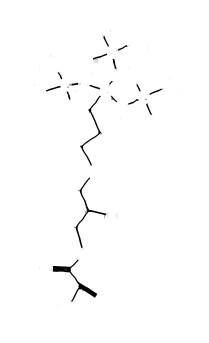 CC(=O)C(=O)OCC(O)COCCC[Si](O[Si](C)(C)C)(O[Si](C)(C)C)O[Si](C)(C)C